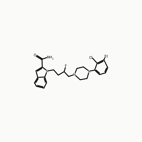 CCc1cccc(N2CCN(CC(F)CCn3c(C(N)=O)cc4ccccc43)CC2)c1Cl